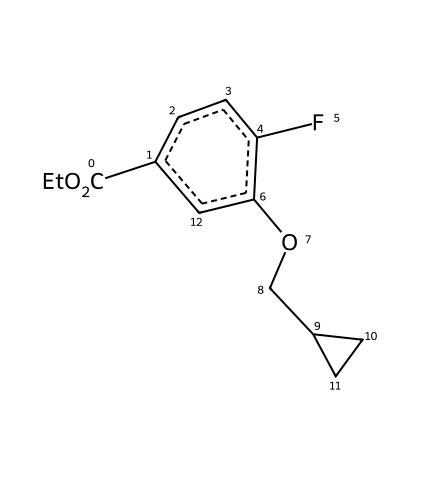 CCOC(=O)c1ccc(F)c(OCC2CC2)c1